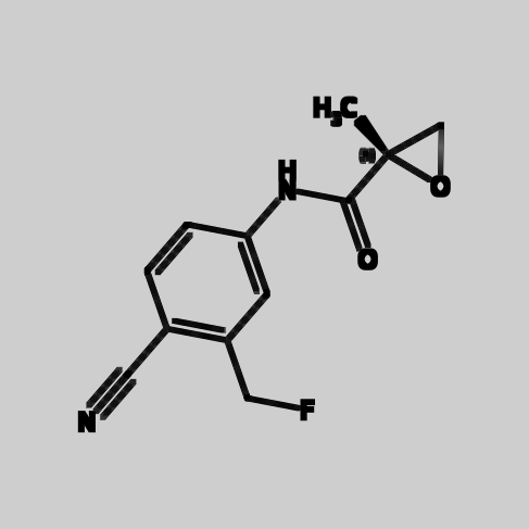 C[C@@]1(C(=O)Nc2ccc(C#N)c(CF)c2)CO1